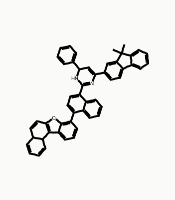 CC1(C)c2ccccc2-c2ccc(C3=CC(c4ccccc4)NC(c4ccc(-c5cccc6c7c(oc56)C=CC5C=CC=CC75)c5ccccc45)=N3)cc21